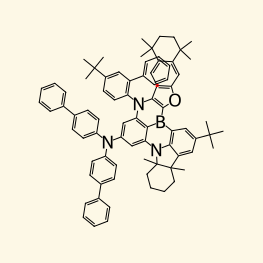 CC(C)(C)c1ccc(N2c3cc(N(c4ccc(-c5ccccc5)cc4)c4ccc(-c5ccccc5)cc4)cc4c3B(c3cc(C(C)(C)C)cc5c3N4C3(C)CCCCC53C)c3oc4cc5c(cc4c32)C(C)(C)CCC5(C)C)c(-c2ccccc2)c1